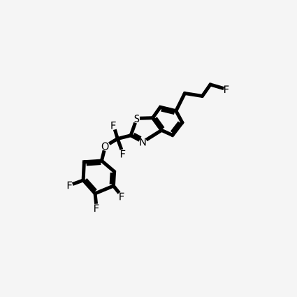 FCCCc1ccc2nc(C(F)(F)Oc3cc(F)c(F)c(F)c3)sc2c1